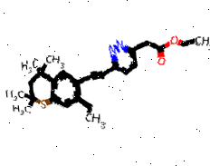 CCOC(=O)Cc1ccc(C#Cc2cc3c(cc2CC)SC(C)(C)CC3(C)C)nn1